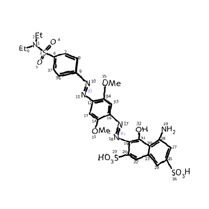 CCN(CC)S(=O)(=O)c1ccc(/N=N/c2cc(OC)c(/N=N/c3c(S(=O)(=O)O)cc4cc(S(=O)(=O)O)cc(N)c4c3O)cc2OC)cc1